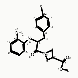 COC(=O)C1CN(C(=O)C(Cc2ccc(C)cc2)Nc2ccccc2N)C1